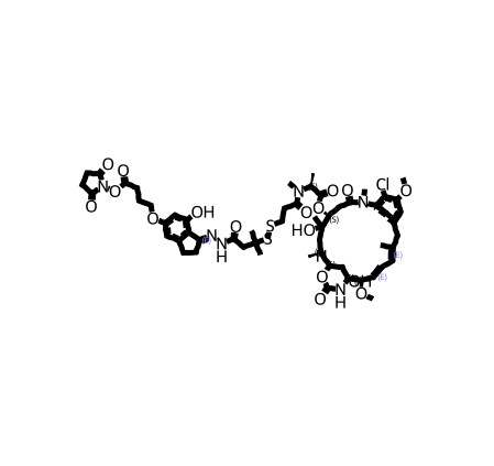 COc1cc2cc(c1Cl)N(C)C(=O)C[C@H](OC(=O)[C@H](C)N(C)C(=O)CCSSC(C)(C)CC(=O)N/N=C1\CCc3cc(OCCCC(=O)ON4C(=O)CCC4=O)cc(O)c31)C(C)(O)C[C@H](C)[C@@H]1C[C@@](O)(NC(=O)O1)[C@H](OC)/C=C/C=C(\C)C2